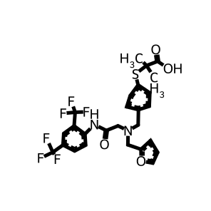 CC(C)(Sc1ccc(CN(CC(=O)Nc2ccc(C(F)(F)F)cc2C(F)(F)F)Cc2ccco2)cc1)C(=O)O